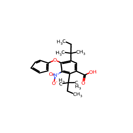 CCC(C)(C)c1cc(C(=O)O)c(C(C)(C)CC)c([N+](=O)[O-])c1Oc1ccccc1